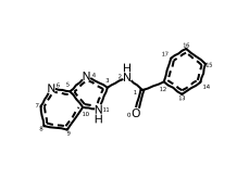 O=C(Nc1nc2ncccc2[nH]1)c1ccccc1